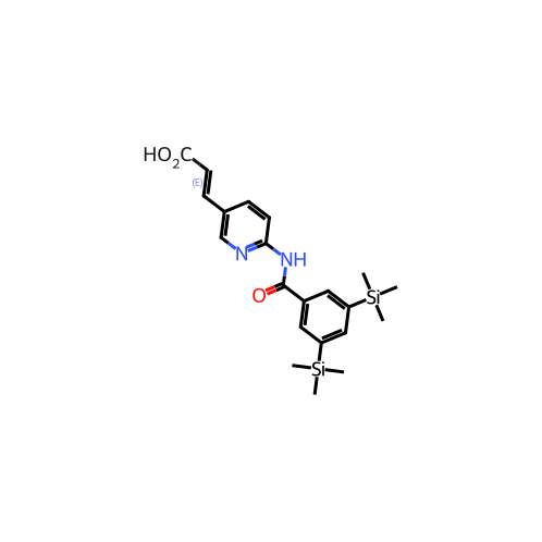 C[Si](C)(C)c1cc(C(=O)Nc2ccc(/C=C/C(=O)O)cn2)cc([Si](C)(C)C)c1